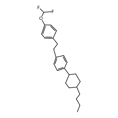 CCCCC1CCC(c2ccc(CCc3ccc(OC(F)F)cc3)cc2)CC1